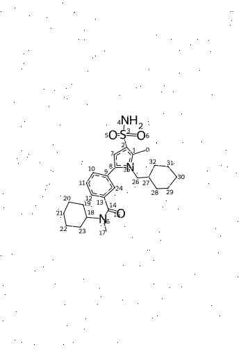 Cc1c(S(N)(=O)=O)cc(-c2cccc(C(=O)N(C)C3CCCCC3)c2)n1CC1CCCCC1